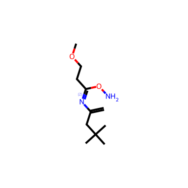 C=C(CC(C)(C)C)/N=C(/CCOC)ON